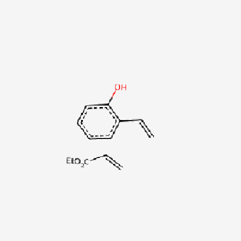 C=CC(=O)OCC.C=Cc1ccccc1O